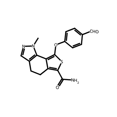 Cn1ncc2c1-c1c(Oc3ccc(C=O)cc3)sc(C(N)=O)c1CC2